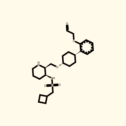 O=CCOc1ccccc1[C@H]1CC[C@@H](OC[C@@H]2NCCC[C@@H]2NS(=O)(=O)CC2CCC2)CC1